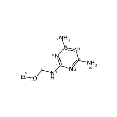 CCOCNc1nc(N)nc(N)n1